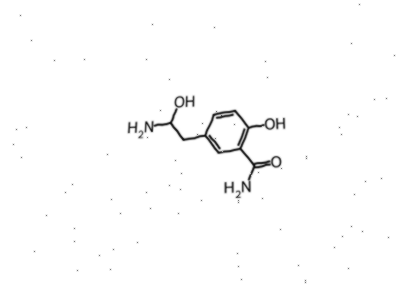 NC(=O)c1cc(CC(N)O)ccc1O